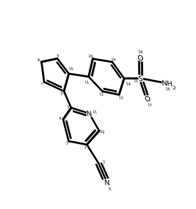 N#Cc1ccc(C2=CCC=C2c2ccc(S(N)(=O)=O)cc2)nc1